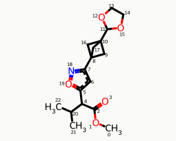 COC(=O)C(c1cc(C23CC(C4OCCO4)(C2)C3)no1)C(C)C